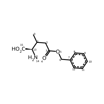 CC(CC(=O)OCc1ccccc1)[C@@H](N)C(=O)O